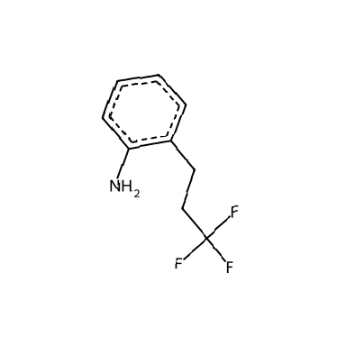 Nc1ccccc1CCC(F)(F)F